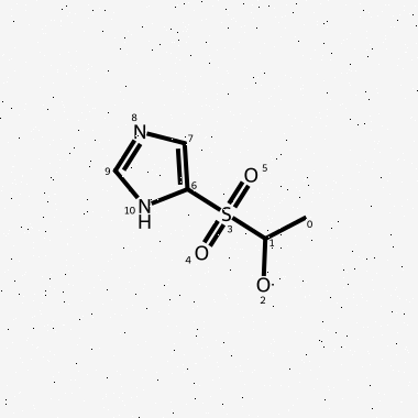 CC([O])S(=O)(=O)c1cnc[nH]1